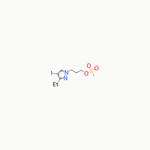 CCc1nn(CCCOS(C)(=O)=O)cc1I